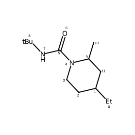 CCC1CCN(C(=O)NC(C)(C)C)C(C)C1